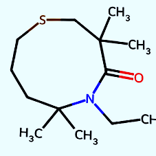 CCN1C(=O)C(C)(C)CSCCCC1(C)C